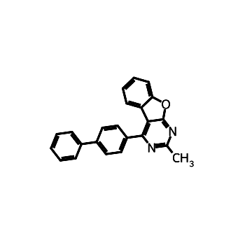 Cc1nc(-c2ccc(-c3ccccc3)cc2)c2c(n1)oc1ccccc12